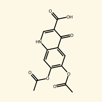 CC(=O)Oc1cc2[nH]cc(C(=O)O)c(=O)c2cc1OC(C)=O